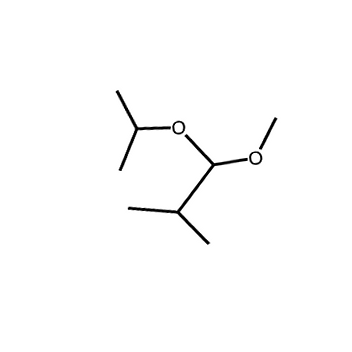 COC(OC(C)C)C(C)C